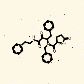 O=C1CCC(C(=O)N(Cc2ccccc2)C(Cc2ccccc2)C(=O)C(=O)NCCc2ccccc2)N1